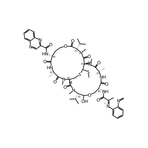 C=Nc1ccccc1/N=C(\C)C(=O)N[C@@H]1COC(O)[C@H](C(C)C)N(C)C(=O)[C@@H]2CSC(SC)[C@H](C(=O)N(C)[C@@H](C(C)C)C(=O)OCC[C@@H](NC(=O)c3cnc4ccccc4n3)C(=O)N[C@@H](C)C(=O)N2C)N(C)C(=O)[C@H](C)NC1=O